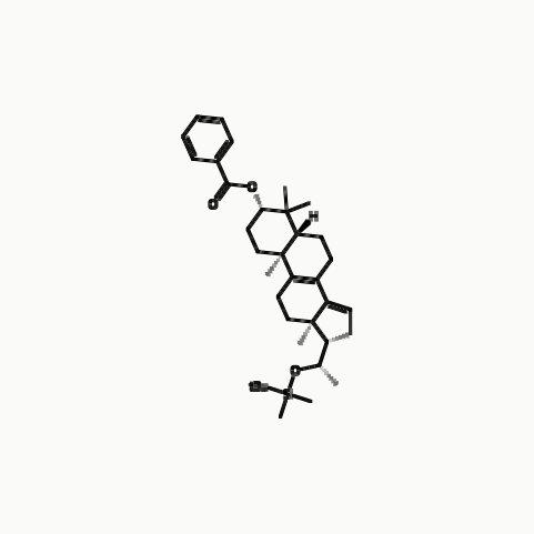 C[C@H](O[Si](C)(C)C(C)(C)C)[C@H]1CC=C2C3=C(CC[C@@]21C)[C@@]1(C)CC[C@H](OC(=O)c2ccccc2)C(C)(C)[C@@H]1CC3